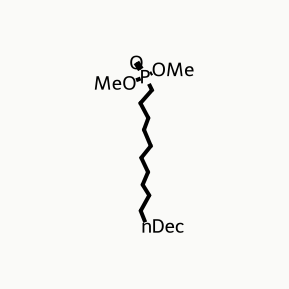 CCCCCCCCCCCCCCCCCCCCP(=O)(OC)OC